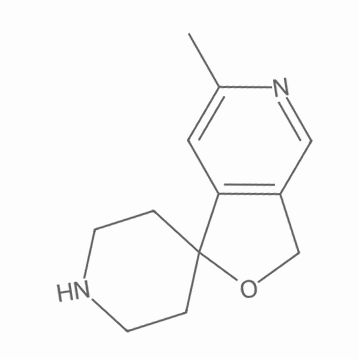 Cc1cc2c(cn1)COC21CCNCC1